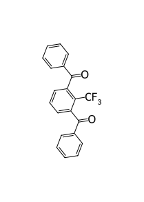 O=C(c1ccccc1)c1cccc(C(=O)c2ccccc2)c1C(F)(F)F